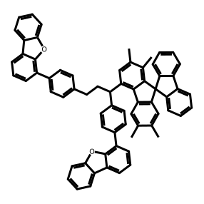 Cc1cc2c(cc1C)C1(c3ccccc3-c3ccccc31)c1c(C)c(C)cc(C(CCc3ccc(-c4cccc5c4oc4ccccc45)cc3)c3ccc(-c4cccc5c4oc4ccccc45)cc3)c1-2